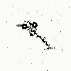 COCc1cccc(Oc2c(NS(=O)(=O)c3ccc(C(C)(C)C)cc3)ncnc2OCCOC(=O)CCCON(O)O)c1